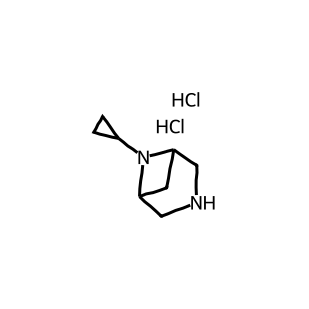 C1CC1N1C2CNCC1C2.Cl.Cl